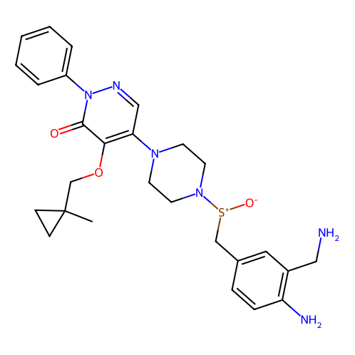 CC1(COc2c(N3CCN([S+]([O-])Cc4ccc(N)c(CN)c4)CC3)cnn(-c3ccccc3)c2=O)CC1